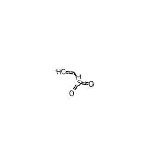 [CH]=C[SH](=O)=O